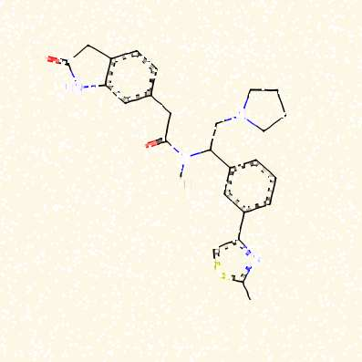 Cc1nc(-c2cccc(C(CN3CC[C@H](O)C3)N(C)C(=O)Cc3ccc4c(c3)NC(=O)C4)c2)cs1